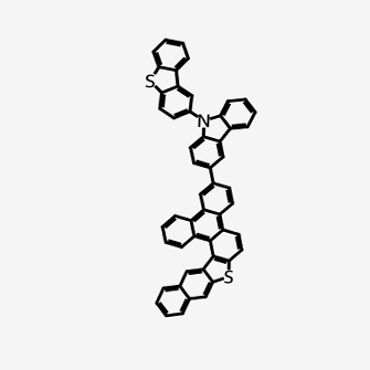 c1ccc2cc3c(cc2c1)sc1ccc2c4ccc(-c5ccc6c(c5)c5ccccc5n6-c5ccc6sc7ccccc7c6c5)cc4c4ccccc4c2c13